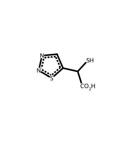 O=C(O)C(S)c1cnns1